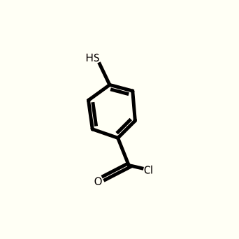 O=C(Cl)c1ccc(S)cc1